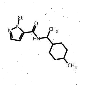 CCn1nccc1C(=O)NC(C)C1CCC(C)CC1